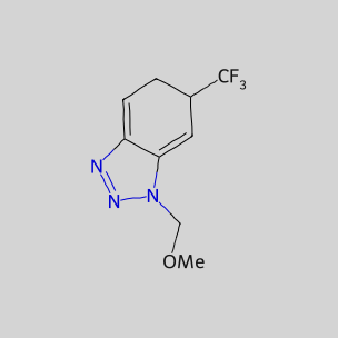 COCn1nnc2c1=CC(C(F)(F)F)CC=2